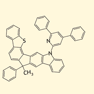 CC1(c2ccccc2)c2cc3c4ccccc4n(-c4cc(-c5ccccc5)cc(-c5ccccc5)n4)c3cc2-c2c1ccc1c2sc2ccccc21